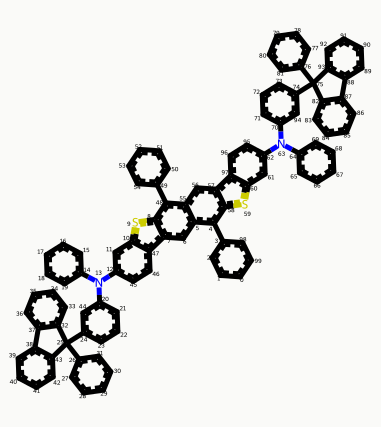 c1ccc(-c2c3cc4c(sc5cc(N(c6ccccc6)c6cccc(C7(c8ccccc8)c8ccccc8-c8ccccc87)c6)ccc54)c(-c4ccccc4)c3cc3c2sc2cc(N(c4ccccc4)c4cccc(C5(c6ccccc6)c6ccccc6-c6ccccc65)c4)ccc23)cc1